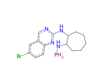 PNC1CCCCCC1Nc1ncc2cc(Br)ccc2n1